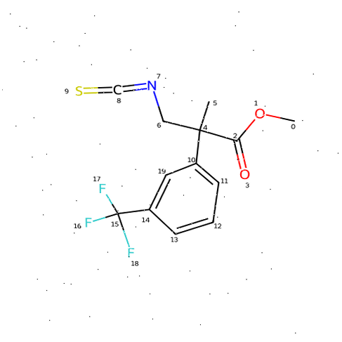 COC(=O)C(C)(CN=C=S)c1cccc(C(F)(F)F)c1